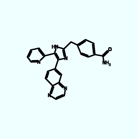 NC(=O)c1ccc(Cc2nc(-c3ccc4nccnc4c3)c(-c3ccccn3)[nH]2)cc1